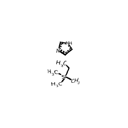 CC[Si](C)(C)C.c1c[nH]cn1